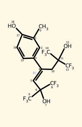 Cc1cc(/C(=C/C(O)(C(F)(F)F)C(F)(F)F)CC(O)(C(F)(F)F)C(F)(F)F)ccc1O